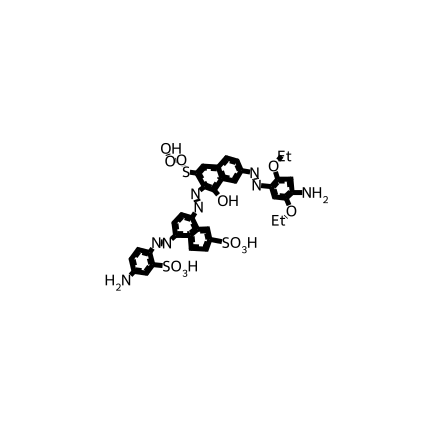 CCOc1cc(N=Nc2ccc3cc(SOOO)c(N=Nc4ccc(N=Nc5ccc(N)cc5S(=O)(=O)O)c5ccc(S(=O)(=O)O)cc45)c(O)c3c2)c(OCC)cc1N